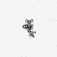 COc1cc(Nc2nc3ccccc3nc2N(c2cccc(NC(=O)CN(C)C)c2)[SH](=O)=O)cc(OC)c1